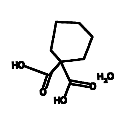 O.O=C(O)C1(C(=O)O)CCCCC1